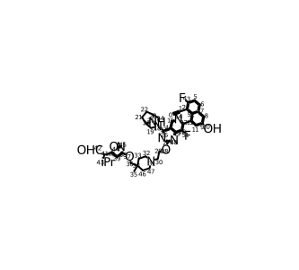 C#Cc1c(F)ccc2cc(O)cc(-c3ncc4c(N5CC6CCC(C5)N6)nc(OCCN5CCC(C)(COc6cc(C(C=O)C(C)C)on6)CC5)nc4c3F)c12